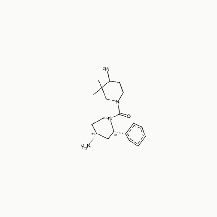 [2H]C1CCN(C(=O)N2CC[C@@H](N)C[C@H]2c2ccccc2)CC1(C)C